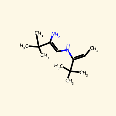 C/C=C(\N/C=C(\N)C(C)(C)C)C(C)(C)C